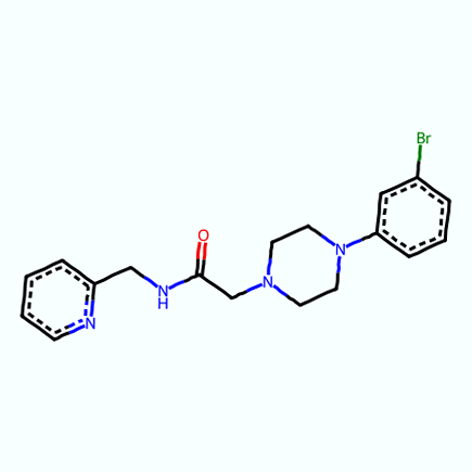 O=C(CN1CCN(c2cccc(Br)c2)CC1)NCc1ccccn1